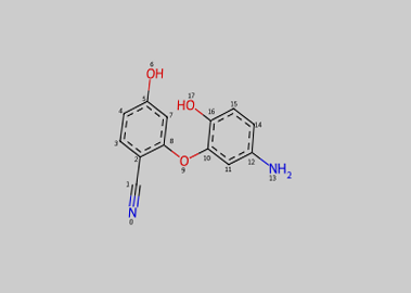 N#Cc1ccc(O)cc1Oc1cc(N)ccc1O